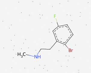 CNCCc1cc(F)ccc1Br